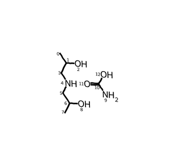 CC(O)CNCC(C)O.NC(=O)O